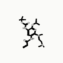 C=CC(=O)Nc1cc(NC(=O)OC(C)(C)C)c(OC(C)C)nc1N(C)CCN(C)C